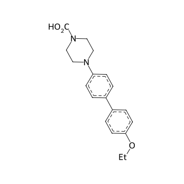 CCOc1ccc(-c2ccc(N3CCN(C(=O)O)CC3)cc2)cc1